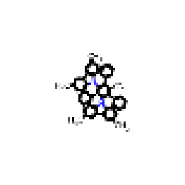 Cc1ccc2c(c1)c1cc(C)ccc1n2-c1c(-c2ccccc2)c(C#N)c(-c2ccccc2)c(-n2c3ccc(C)cc3c3cc(C)ccc32)c1-c1ccccc1